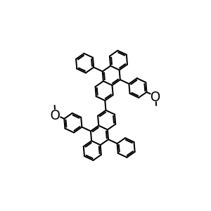 COc1ccc(-c2c3ccccc3c(-c3ccccc3)c3ccc(-c4ccc5c(-c6ccccc6)c6ccccc6c(-c6ccc(OC)cc6)c5c4)cc23)cc1